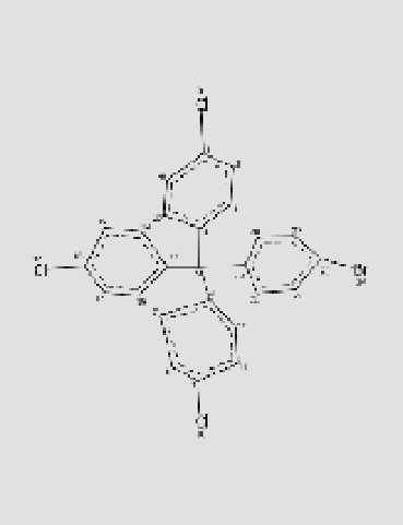 Clc1ccc(C(c2ccc(Cl)cc2)(c2ccc(Cl)cc2)c2ccc(Br)cc2)cc1